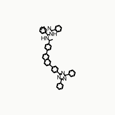 CC(NC(NC(N)c1ccccc1)c1ccccc1)c1ccc(-c2ccc3ccc(-c4ccc(-c5nc(-c6ccccc6)nc(-c6ccccc6)n5)cc4)cc3c2)cc1